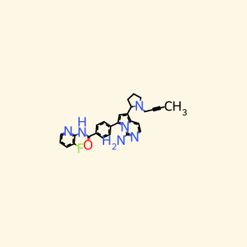 CC#CCN1CCCC1c1cc(-c2ccc(C(=O)Nc3ncccc3F)cc2)n2c(N)nccc12